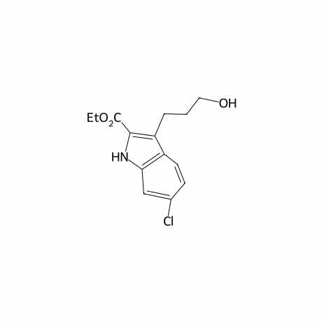 CCOC(=O)c1[nH]c2cc(Cl)ccc2c1CCCO